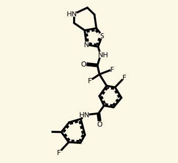 Cc1cc(NC(=O)c2ccc(F)c(C(F)(F)C(=O)Nc3nc4c(s3)CCNC4)c2)ccc1F